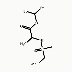 CCC(CC)OC(=O)C(C)NP(=O)(I)COC